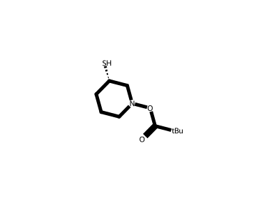 CC(C)(C)C(=O)ON1CCC[C@H](S)C1